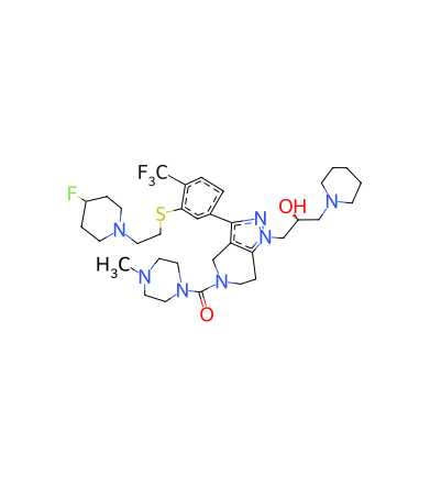 CN1CCN(C(=O)N2CCc3c(c(-c4ccc(C(F)(F)F)c(SCCN5CCC(F)CC5)c4)nn3C[C@@H](O)CN3CCCCC3)C2)CC1